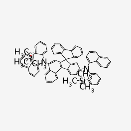 C[Si](C)(C)c1ccccc1N(c1ccc2c(c1)C1(c3ccccc3-c3ccccc31)c1cc(N(c3ccccc3[Si](C)(C)C)c3cccc4ccccc34)c3ccccc3c1-2)c1cccc2ccccc12